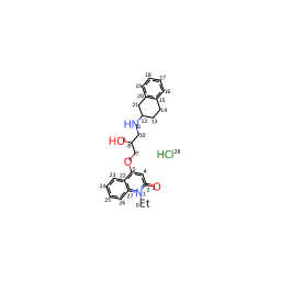 CCn1c(=O)cc(OCC(O)CNC2CCc3ccccc3C2)c2ccccc21.Cl